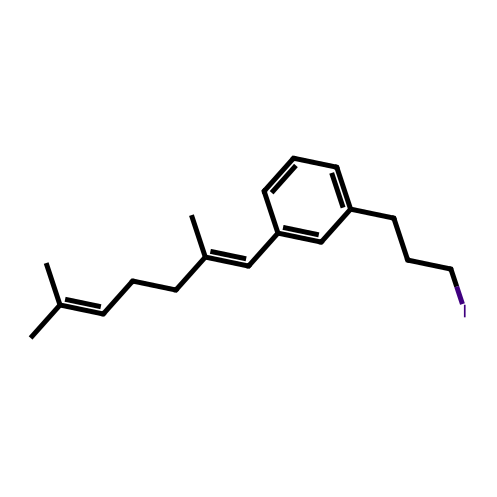 CC(C)=CCC/C(C)=C/c1cccc(CCCI)c1